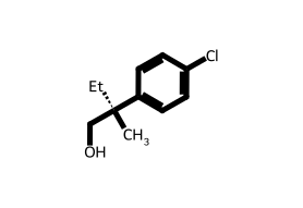 CC[C@](C)(CO)c1ccc(Cl)cc1